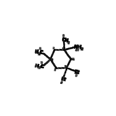 CCC1(CC)CC(C)(C)CC(C)(N)C1